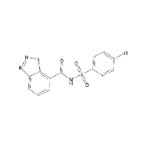 O=C(NS(=O)(=O)c1ccc(Cl)cc1)c1cccc2nnsc12